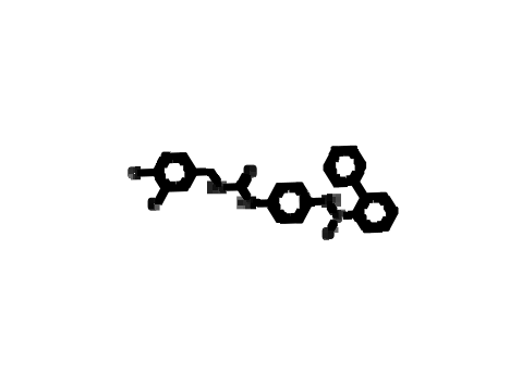 O=C(NCc1ccc(Cl)c(Cl)c1)Nc1ccc(N[S+]([O-])c2ccccc2-c2ccccc2)cc1